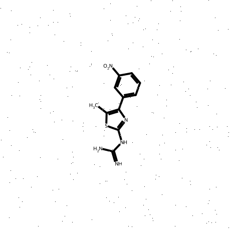 Cc1sc(NC(=N)N)nc1-c1cccc([N+](=O)[O-])c1